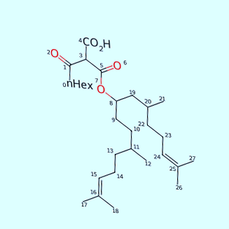 CCCCCCC(=O)C(C(=O)O)C(=O)OC(CCC(C)CCC=C(C)C)CC(C)CCC=C(C)C